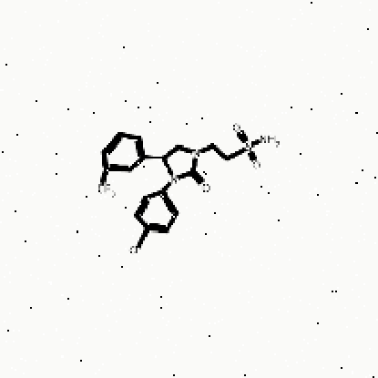 NS(=O)(=O)CCN1C[C@H](c2cccc(C(F)(F)F)c2)N(c2ccc(Cl)cc2)C1=O